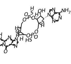 Nc1ncnc2c1ncn2[C@@H]1S[C@@H]2COP(=O)(S)O[C@@H]3[C@H](F)[C@@H](COP(=O)(S)O[C@H]2[C@H]1O)O[C@H]3n1cnc2c(=O)n3cc[nH]c3nc21